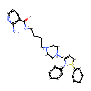 Nc1ncccc1C(=O)NCCCCN1CCN(C2=CC=S(c3ccccc3)N2c2ccccc2)CC1